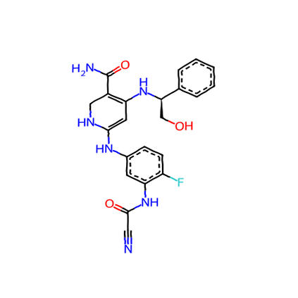 N#CC(=O)Nc1cc(NC2=CC(N[C@H](CO)c3ccccc3)=C(C(N)=O)CN2)ccc1F